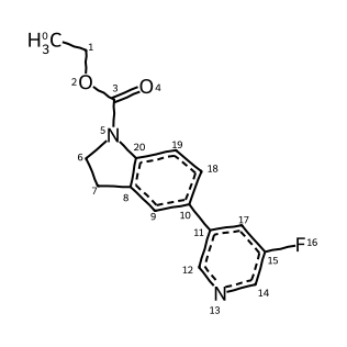 CCOC(=O)N1CCc2cc(-c3cncc(F)c3)ccc21